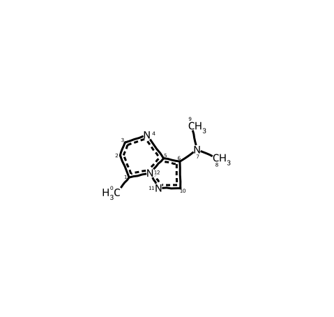 Cc1ccnc2c(N(C)C)cnn12